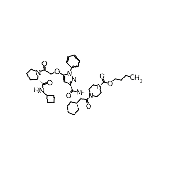 CCCCOC(=O)N1CCN(C(=O)[C@@H](NC(=O)c2cc(OCC(=O)N3CCC[C@H]3C(=O)NC3CCC3)n(-c3ccccc3)n2)C2CCCCC2)CC1